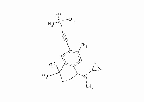 Cc1cc2c(cc1C#C[Si](C)(C)C)C(C)(C)CCC2N(C)C1CC1